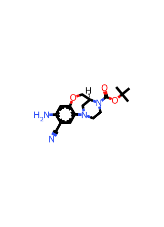 CC(C)(C)OC(=O)N1CCN2C[C@H]1COc1cc(N)c(C#N)cc12